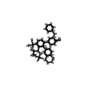 CC(C)(C)OC(C(=O)O)c1c(C(F)(F)F)ccc(-c2ccc(=O)n(Cc3ccccc3)c2)c1-c1ccc2c(c1)CCCO2